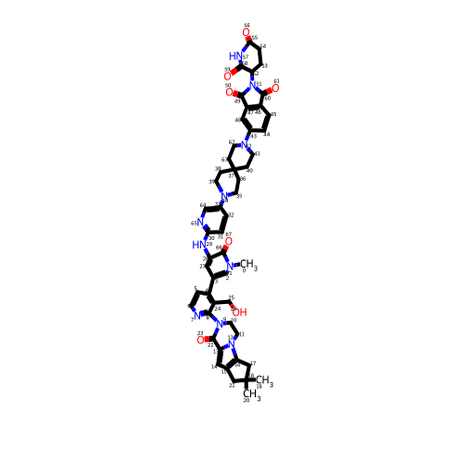 Cn1cc(-c2ccnc(N3CCn4c(cc5c4CC(C)(C)C5)C3=O)c2CO)cc(Nc2ccc(N3CCC4(CC3)CCN(c3ccc5c(c3)C(=O)N(C3CCC(=O)NC3=O)C5=O)CC4)cn2)c1=O